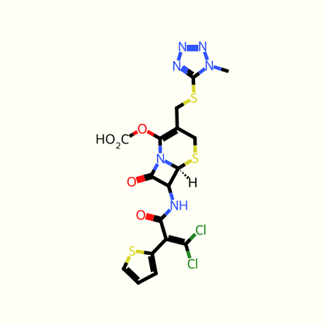 Cn1nnnc1SCC1=C(OC(=O)O)N2C(=O)C(NC(=O)C(=C(Cl)Cl)c3cccs3)[C@@H]2SC1